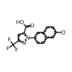 O=C(O)c1cc(C(F)(F)F)nn1-c1ccc2cc(Cl)ccc2c1